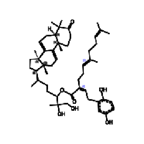 CC(C)=CCC/C(C)=C/CC/C(=C/Cc1cc(O)ccc1O)C(=O)OC(CCC(C)[C@H]1CC[C@@]2(C)C3=CC[C@H]4C(C)(C)C(=O)CC[C@]4(C)C3=CC[C@]12C)C(C)(O)CO